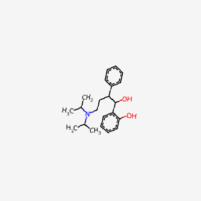 CC(C)N(CCC(c1ccccc1)C(O)c1ccccc1O)C(C)C